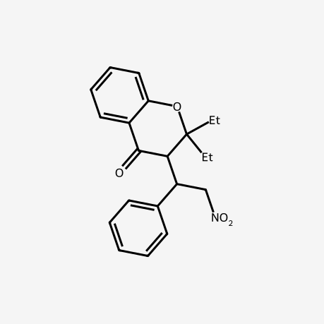 CCC1(CC)Oc2ccccc2C(=O)C1C(C[N+](=O)[O-])c1ccccc1